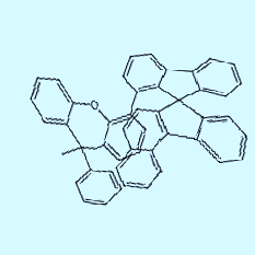 CC1(c2ccccc2)c2ccccc2Oc2c(-c3cccc4c3C3(c5ccccc5-4)c4ccccc4-c4c3ccc3ccccc43)cccc21